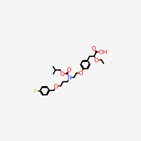 CCOC(Cc1ccc(OCCN(CCCOCc2ccc(F)cc2)C(=O)OCC(C)C)cc1)C(=O)O